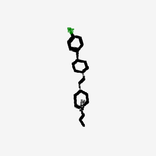 CCC[Si@H]1CC[C@H](CC[C@H]2CC[C@H](c3ccc(Br)cc3)CC2)CC1